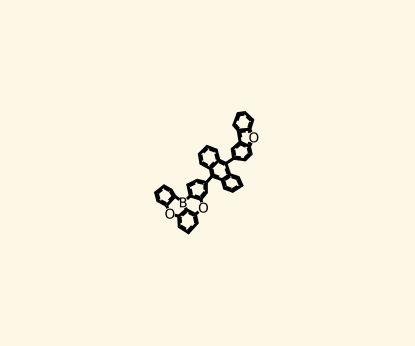 c1ccc2c(c1)Oc1cccc3c1B2c1ccc(-c2c4ccccc4c(-c4ccc5oc6ccccc6c5c4)c4ccccc24)cc1O3